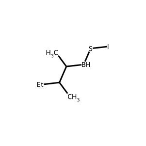 CCC(C)C(C)BSI